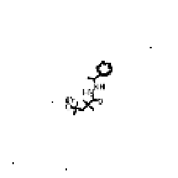 CC(C)OC(C)(C)CC(C)(C)C(=O)NNC(C)c1ccccc1